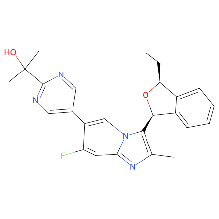 CC[C@@H]1O[C@H](c2c(C)nc3cc(F)c(-c4cnc(C(C)(C)O)nc4)cn23)c2ccccc21